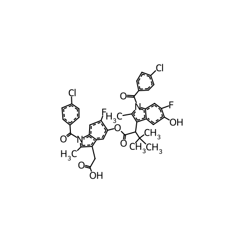 Cc1c(CC(=O)O)c2cc(OC(=O)C(c3c(C)n(C(=O)c4ccc(Cl)cc4)c4cc(F)c(O)cc34)C(C)(C)C)c(F)cc2n1C(=O)c1ccc(Cl)cc1